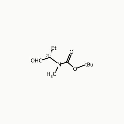 CC[C@@H](C=O)N(C)C(=O)OC(C)(C)C